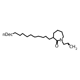 C=CCN1CCCCC(CCCCCCCCCCCCCCCCCCCC)C1=O